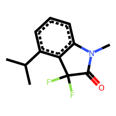 CC(C)c1cccc2c1C(F)(F)C(=O)N2C